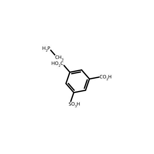 CP.O=C(O)c1cc(C(=O)O)cc(S(=O)(=O)O)c1